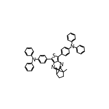 CC12CCC(c3nc4c(-c5ccc(N(c6ccccc6)c6ccccc6)cc5)sc(-c5ccc(N(c6ccccc6)c6ccccc6)cc5)c4nc31)C2(C)C